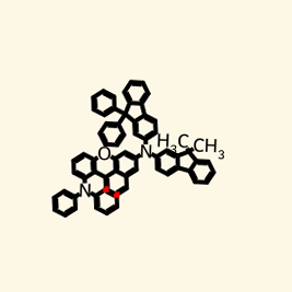 CC1(C)c2ccccc2-c2ccc(N(c3ccc4c(c3)C(c3ccccc3)(c3ccccc3)c3ccccc3-4)c3cc4c5c(cccc5c3)-c3c(cccc3N(c3ccccc3)c3ccccc3)O4)cc21